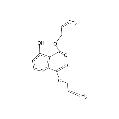 C=CCOC(=O)c1cccc(O)c1C(=O)OCC=C